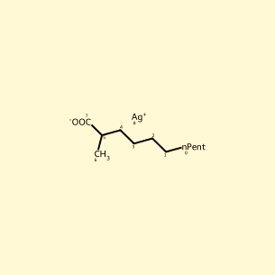 CCCCCCCCCC(C)C(=O)[O-].[Ag+]